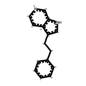 c1ccc(CCc2c[nH]c3cnccc23)cc1